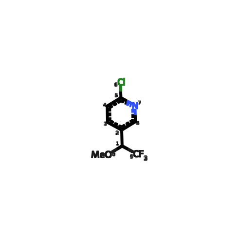 COC(c1ccc(Cl)nc1)C(F)(F)F